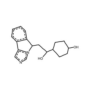 OC1CCC(C(O)CC2c3ccccc3-c3cncn32)CC1